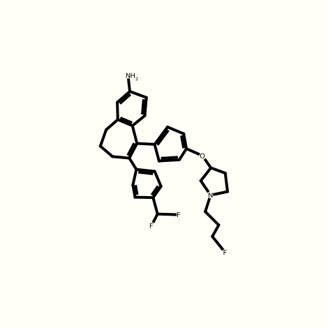 Nc1ccc2c(c1)CCCC(c1ccc(C(F)F)cc1)=C2c1ccc(OC2CCN(CCCF)C2)cc1